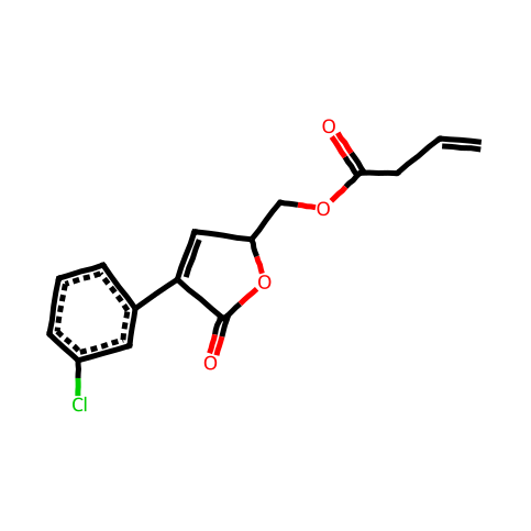 C=CCC(=O)OCC1C=C(c2cccc(Cl)c2)C(=O)O1